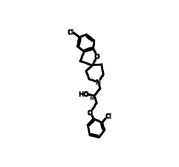 O[C@H](COc1ccccc1Cl)CN1CCC2(CC1)Cc1cc(Cl)ccc1O2